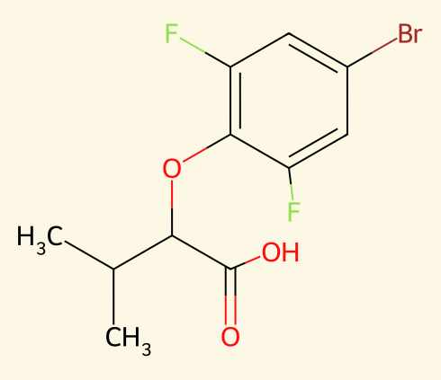 CC(C)C(Oc1c(F)cc(Br)cc1F)C(=O)O